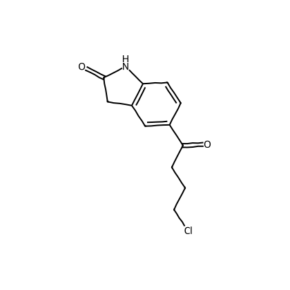 O=C1Cc2cc(C(=O)CCCCl)ccc2N1